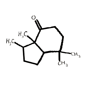 CC1CCC2C(C)(C)CCC(=O)C12C